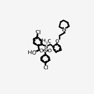 C[C@H](c1ccccc1OCCCN1CCCCC1)N(c1cc(Cl)ccc1CO)S(=O)(=O)c1ccc(Cl)cc1